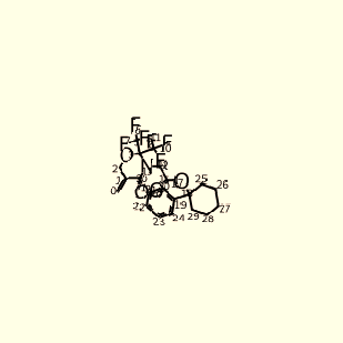 C=C1COC(C(F)(F)F)(C(F)(F)F)N(CC(=O)OC2(c3ccccc3)CCCCC2)C1=O